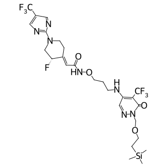 C[Si](C)(C)CCOCn1ncc(NCCCONC(=O)/C=C2\CCN(c3ncc(C(F)(F)F)cn3)C[C@H]2F)c(C(F)(F)F)c1=O